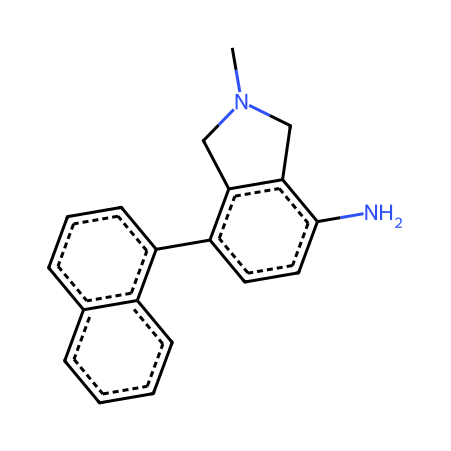 CN1Cc2c(N)ccc(-c3cccc4ccccc34)c2C1